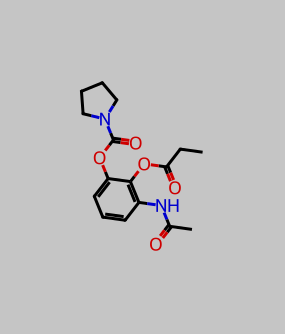 CCC(=O)Oc1c(NC(C)=O)cccc1OC(=O)N1CCCC1